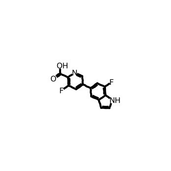 O=C(O)c1ncc(-c2cc(F)c3[nH]ccc3c2)cc1F